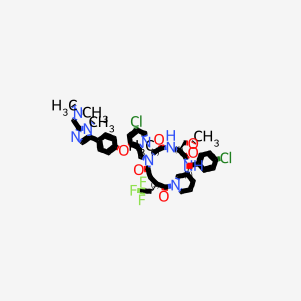 COC[C@@H]1NC(=O)[C@H](C)N(Cc2ncc(Cl)cc2Oc2ccc(-c3cnc(CN(C)C)n3C)cc2)C(=O)C[C@@H](CC(F)(F)F)C(=O)N2CCC[C@@](Cc3ccc(Cl)cc3)(C2)NC1=O